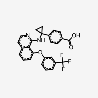 O=C(O)c1ccc(C2(Nc3nccc4cccc(Oc5cccc(C(F)(F)F)c5)c34)CC2)cc1